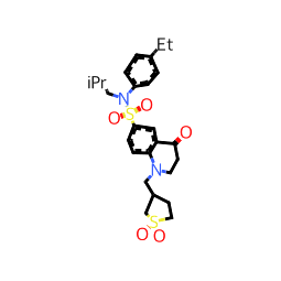 CCc1ccc(N(CC(C)C)S(=O)(=O)c2ccc3c(c2)C(=O)CCN3CC2CCS(=O)(=O)C2)cc1